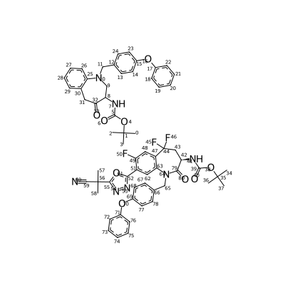 CC(C)(C)OC(=O)NC1CN(Cc2ccc(Oc3ccccc3)cc2)c2ccccc2CC1=O.CC(C)(C)OC(=O)N[C@@H]1CC(F)(F)c2cc(F)c(-c3nnc(C(C)(C)C#N)o3)cc2N(Cc2ccc(Oc3ccccc3)cc2)C1=O